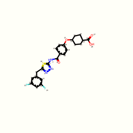 O=C(Nc1nnc(Cc2cc(F)cc(F)c2)s1)c1ccc(OC2CCC(C(=O)O)CC2)cc1